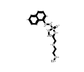 CCCCCCCCCCOP(=O)(OCCOCCOCC)OOc1cccc2ccccc12